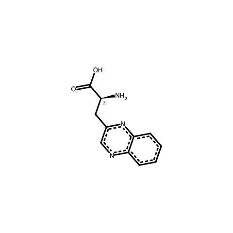 N[C@@H](Cc1cnc2ccccc2n1)C(=O)O